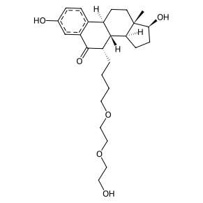 C[C@]12CC[C@@H]3c4ccc(O)cc4C(=O)[C@@H](CCCCOCCOCCO)[C@H]3[C@@H]1CC[C@@H]2O